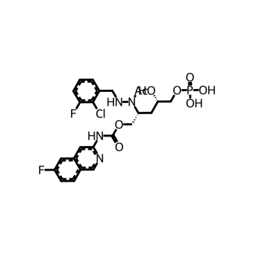 CC(=O)N(NCc1cccc(F)c1Cl)[C@@H](COC(=O)Nc1cc2cc(F)ccc2cn1)C[C@H](O)COP(=O)(O)O